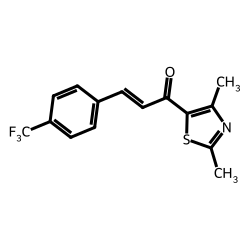 Cc1nc(C)c(C(=O)C=Cc2ccc(C(F)(F)F)cc2)s1